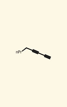 C#CC#CCCC[CH2]